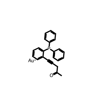 CC(=O)CC#Cc1ccccc1P(c1ccccc1)c1ccccc1.[Au+]